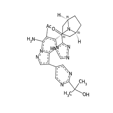 CC(=O)c1c([C@@H]2C[C@H]3CC[C@@H](C2)N3C(=O)c2nnc[nH]2)nc2c(-c3cnc(C(C)(C)O)nc3)cnn2c1N